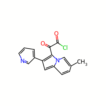 Cc1ccc2cc(-c3cccnc3)c(C(=O)C(=O)Cl)n2c1